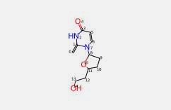 C=C1NC(=O)C=CN1C1CCC(CCO)O1